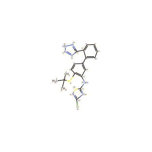 CC(C)(C)Sc1ccc(-c2ccccc2-c2nn[nH]n2)cc1Nc1nc(Cl)ns1